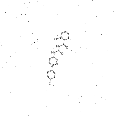 O=C(NC(=O)c1ccccc1Cl)Nc1ccc(-c2ccc(Cl)cc2)nc1